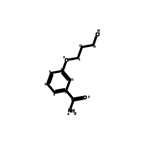 NC(=O)c1cccc(OCCCCl)c1